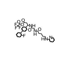 O=C(CCCCNc1ccccn1)NCC(=O)NC(CC(=O)OC(=O)C(F)(F)F)c1ccc(-c2ccccc2F)cc1